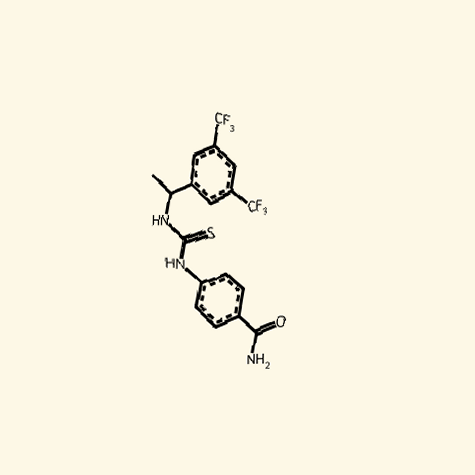 CC(NC(=S)Nc1ccc(C(N)=O)cc1)c1cc(C(F)(F)F)cc(C(F)(F)F)c1